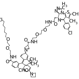 Cc1sc2c(c1C)C(c1ccc(Cl)cc1)=N[C@@H](CC(=O)NCCOCCOCCNC(=O)C1C[N+](=C3C=CC4=C(c5cc(C(=O)NCCOCCOCCCCCCCl)ccc5C=O)c5ccc(N6CCC6)cc5[Si](C)(C)C4=C3)C1)c1nnc(C)n1-2